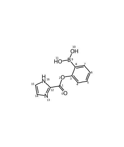 O=C(Oc1ccccc1B(O)O)c1ncc[nH]1